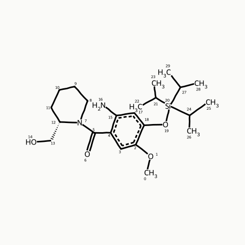 COc1cc(C(=O)N2CCCC[C@H]2CO)c(N)cc1O[Si](C(C)C)(C(C)C)C(C)C